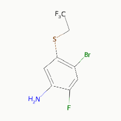 Nc1cc(SCC(F)(F)F)c(Br)cc1F